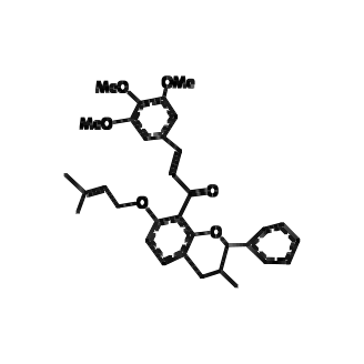 COc1cc(C=CC(=O)c2c(OCC=C(C)C)ccc3c2OC(c2ccccc2)C(C)C3)cc(OC)c1OC